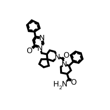 NC(=O)C1CCN(C(=O)N2CCC(Cn3cnc(-c4ccccc4)cc3=O)C3(CCCC3)C2)C(c2ccccc2)C1